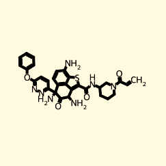 C=CC(=O)N1CCCC(NC(=O)c2sc3c(N)ccc4c3c2C(N)C(=O)C4(N)c2ccc(Oc3ccccc3)nn2)C1